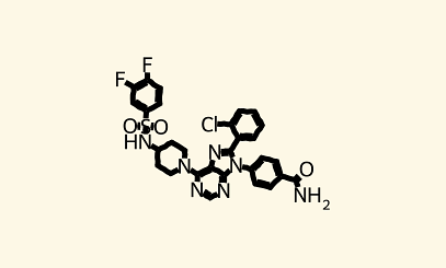 NC(=O)c1ccc(-n2c(-c3ccccc3Cl)nc3c(N4CCC(NS(=O)(=O)c5ccc(F)c(F)c5)CC4)ncnc32)cc1